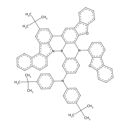 CC(C)(C)c1ccc(N(c2ccc(C(C)(C)C)cc2)c2ccc3c(c2)B2c4c(cc5c(oc6ccccc65)c4N3c3cccc4c3oc3ccccc34)-c3cc(C(C)(C)C)cc4c5c6ccccc6ccc5n2c34)cc1